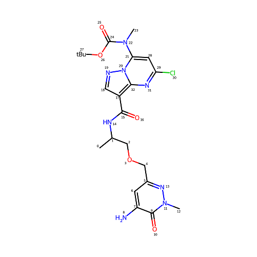 CC(COCc1cc(N)c(=O)n(C)n1)NC(=O)c1cnn2c(N(C)C(=O)OC(C)(C)C)cc(Cl)nc12